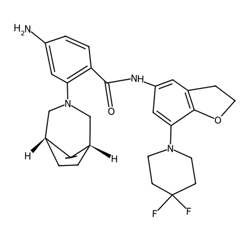 Nc1ccc(C(=O)Nc2cc3c(c(N4CCC(F)(F)CC4)c2)OCC3)c(N2C[C@H]3CC[C@@H](C2)C32CC2)c1